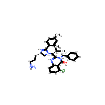 Cc1ccc(C2=N[C@@H](CCCN)CN2[C@@H](c2nc3cccc(Cl)c3c(=O)n2Cc2ccccc2)C(C)C)cc1